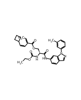 C/C=C(\C=C/C1CCC1)C(=O)OC[C@H](NC(=O)OCC)C(=O)Nc1ccc2cnn(-c3cccc(C)c3)c2c1